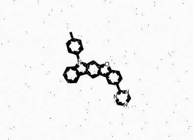 Cc1ccc(-n2c3ccccc3c3cc4c(cc32)oc2ccc(-c3ncncn3)cc24)cc1